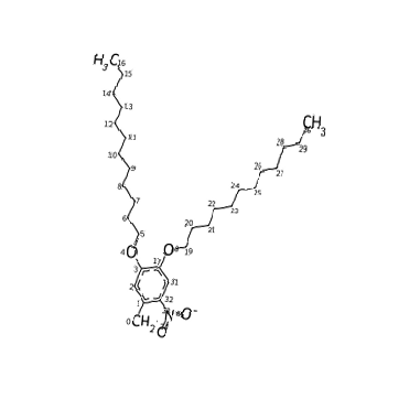 [CH2]c1cc(OCCCCCCCCCCCC)c(OCCCCCCCCCCCC)cc1[N+](=O)[O-]